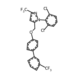 FC(F)(F)c1cccc(-c2ccc(OCc3cc(C(F)(F)F)nn3-c3c(Cl)cccc3Cl)cc2)c1